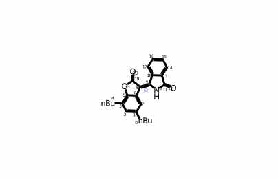 CCCCc1cc(CCCC)c2c(c1)/C(=C1\NC(=O)c3ccccc31)C(=O)O2